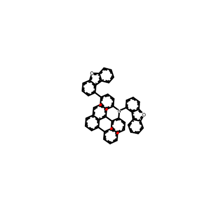 c1ccc(-c2cccc3cccc(-c4ccccc4N(c4ccc(-c5cccc6oc7ccccc7c56)cc4)c4cccc5oc6ccccc6c45)c23)cc1